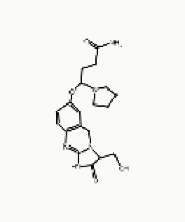 NC(=O)CCC(Oc1ccc2c(c1)CN1C(=N2)NC(=O)C1CO)N1CCCC1